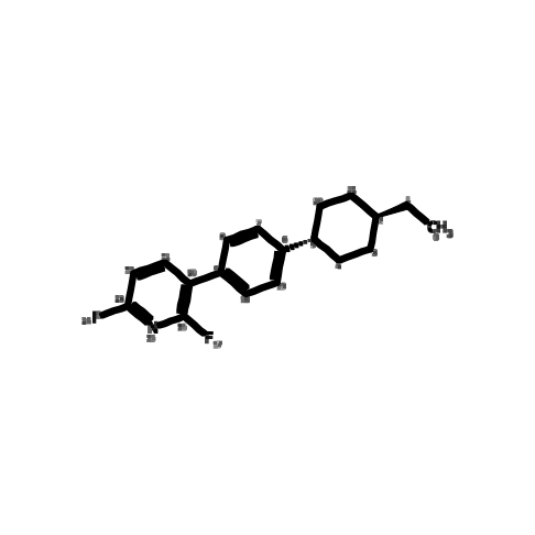 CC[C@H]1CC[C@H](c2ccc(-c3ccc(F)nc3F)cc2)CC1